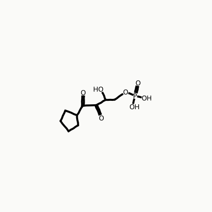 O=C(C(=O)C1CCCC1)C(O)COP(=O)(O)O